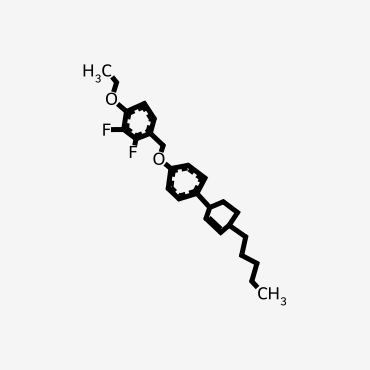 CCCCCC1C=CC(c2ccc(OCc3ccc(OCC)c(F)c3F)cc2)CC1